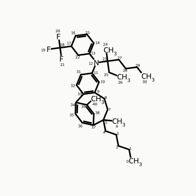 CCCCCC1(C)CCc2cc(N(C3=CC=CC(C(F)(F)F)C3)C(C)(CC)CCCC)ccc2-c2ccc1cc2C